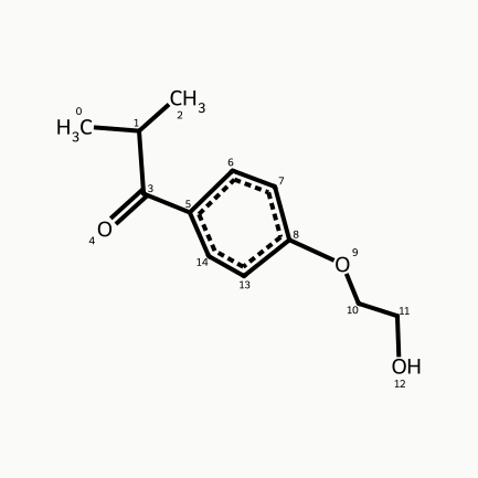 CC(C)C(=O)c1ccc(OCCO)cc1